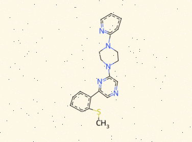 CSc1ccccc1-c1cncc(N2CCN(c3ccccn3)CC2)n1